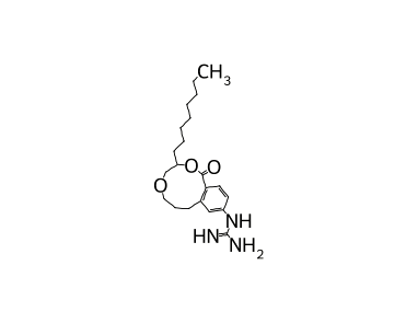 CCCCCCCCC1COCCCc2cc(NC(=N)N)ccc2C(=O)O1